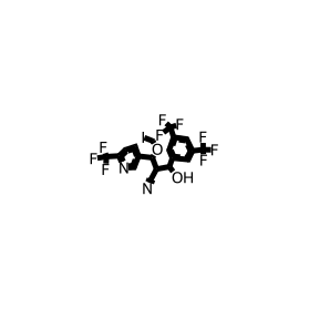 N#CC(C(O)c1cc(C(F)(F)F)cc(C(F)(F)F)c1)C(OCI)c1ccc(C(F)(F)F)nc1